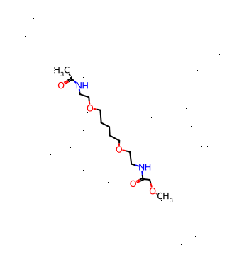 COCC(=O)NCCOCCCCCOCCNC(C)=O